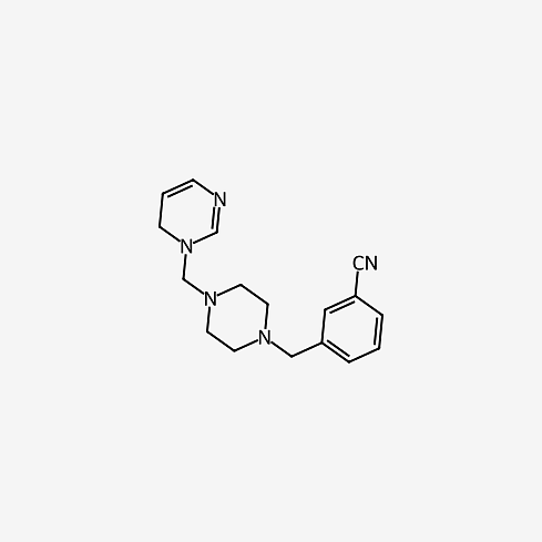 N#Cc1cccc(CN2CCN(CN3C=NC=CC3)CC2)c1